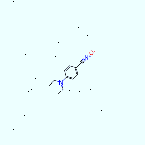 CCN(CC)c1ccc(C#[N+][O-])cc1